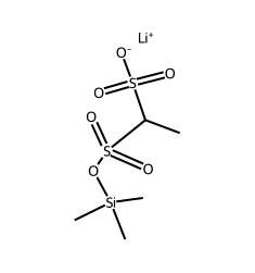 CC(S(=O)(=O)[O-])S(=O)(=O)O[Si](C)(C)C.[Li+]